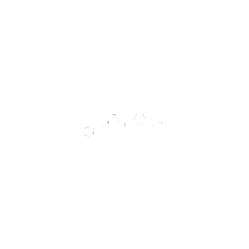 CNC(=O)Nc1ccc2c(c1)CCC2C(=O)N(CC(=O)N1CCCc2cc(F)ccc2C1)C(=O)O